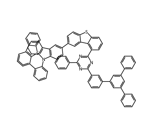 C1=C=C(c2ccccc2-n2c3c(c4cc(-c5ccc6sc7cccc(-c8nc(-c9ccccc9)nc(-c9cccc(-c%10cc(-c%11ccccc%11)cc(-c%11ccccc%11)c%10)c9)n8)c7c6c5)ccc42)C=CCC3)c2sc3ccccc3c2C=1